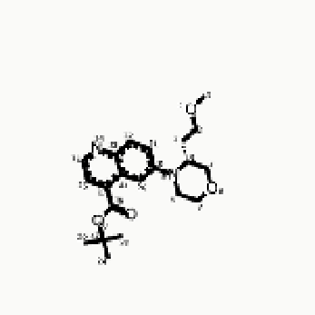 COCC[C@@H]1COCCN1c1ccc2nccc(C(=O)OC(C)(C)C)c2c1